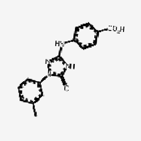 Cc1cccc(-n2nc(Nc3ccc(C(=O)O)cc3)[nH]c2=O)c1